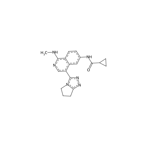 CNc1ncc(-c2nnc3n2CCC3)c2cc(NC(=O)C3CC3)ccc12